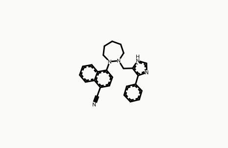 N#Cc1ccc(N2CCCCCN2Cc2[nH]cnc2-c2ccccc2)c2ccccc12